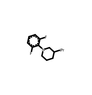 CC(C)C1CCCN(c2c(F)cccc2F)C1